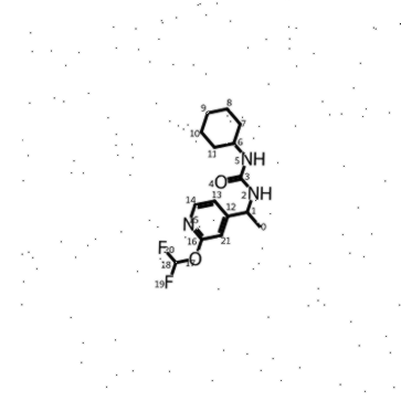 CC(NC(=O)NC1CCCCC1)c1ccnc(OC(F)F)c1